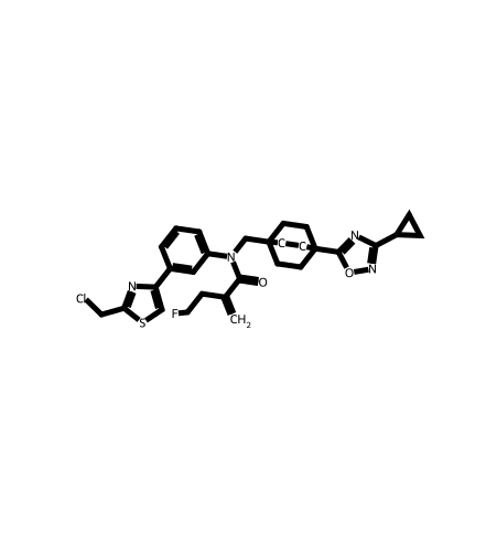 C=C(CCF)C(=O)N(CC12CCC(c3nc(C4CC4)no3)(CC1)CC2)c1cccc(-c2csc(CCl)n2)c1